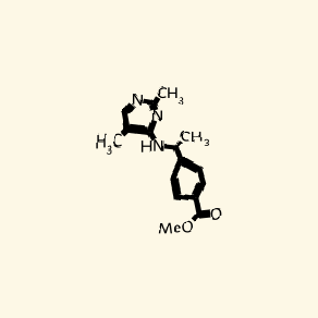 COC(=O)c1ccc([C@H](C)Nc2nc(C)ncc2C)cc1